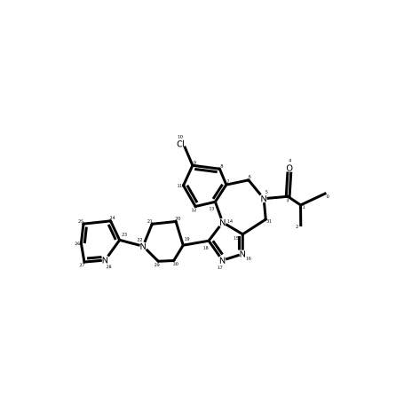 CC(C)C(=O)N1Cc2cc(Cl)ccc2-n2c(nnc2C2CCN(c3ccccn3)CC2)C1